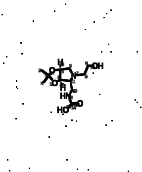 CC1(C)O[C@H]2[C@H](CN(CCO)[C@H]2CNC(=O)O)O1